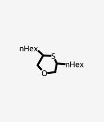 CCCCCCC1COCC(CCCCCC)S1